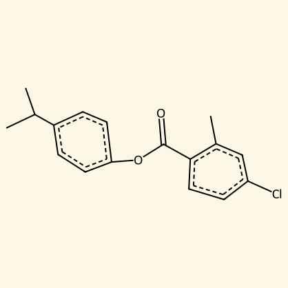 Cc1cc(Cl)ccc1C(=O)Oc1ccc(C(C)C)cc1